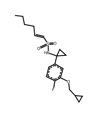 CCCC/C=C/S(=O)(=O)NC1(c2ccc(F)c(OCC3CC3)c2)CC1